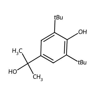 CC(C)(C)c1cc(C(C)(C)O)cc(C(C)(C)C)c1O